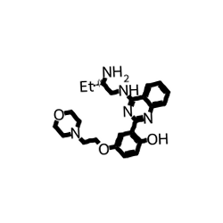 CC[C@H](N)CNc1nc(-c2cc(OCCN3CCOCC3)ccc2O)nc2ccccc12